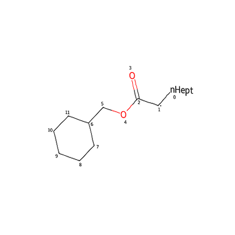 CCCCCCC[CH]C(=O)OCC1CCCCC1